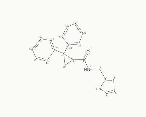 O=C(NCc1cccs1)C1CC1(c1ccccc1)c1ccccc1